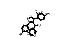 OC(C1=C(c2ccc(F)cc2)OCC1c1ccc(Cl)cc1F)c1cccnc1